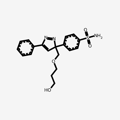 NS(=O)(=O)c1ccc(C2(COCCCO)C=C(c3ccccc3)N=N2)cc1